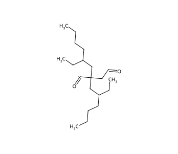 CCCCC(CC)CC([C]=O)(CC=O)CC(CC)CCCC